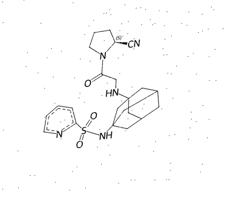 N#C[C@@H]1CCCN1C(=O)CNC12CC3CC(C1)CC(NS(=O)(=O)c1ccccn1)(C3)C2